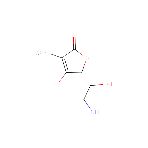 COC1=C(O)[C@@H](C(O)CN)OC1=O